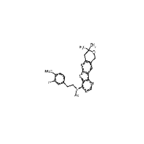 COc1ccc(CCN(C(C)=O)c2ncnc3c2sc2nc4c(cc23)COC(C)(C)C4)cc1F